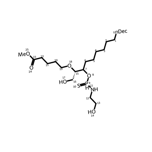 CCCCCCCCCCCCCCCCC(O[PH](=S)NCCO)[C@H](CO)OCCCCC(=O)OC